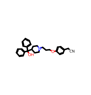 N#CCc1ccc(OCCCN2CCC(C(O)(c3ccccc3)c3ccccc3)CC2)cc1